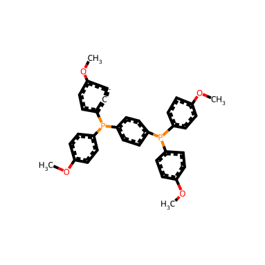 COc1ccc(P(c2ccc(OC)cc2)c2ccc(P(c3ccc(OC)cc3)c3ccc(OC)cc3)cc2)cc1